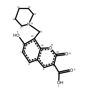 O=C(O)c1cc2ccc(O)c(CN3CCCCC3)c2oc1=O